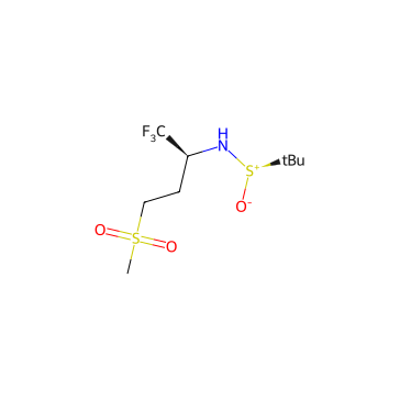 CC(C)(C)[S@@+]([O-])N[C@@H](CCS(C)(=O)=O)C(F)(F)F